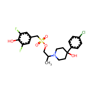 CC(COS(=O)(=O)Cc1cc(F)c(O)c(F)c1)N1CCC(O)(c2ccc(Cl)cc2)CC1